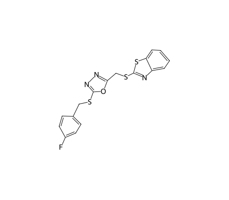 Fc1ccc(CSc2nnc(CSc3nc4ccccc4s3)o2)cc1